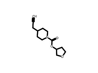 C#CCC1CCN(C(=O)OC2CCOC2)CC1